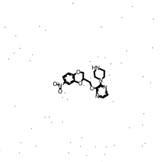 O=[N+]([O-])c1ccc2c(c1)OC(COc1nccnc1N1CCNCC1)CO2